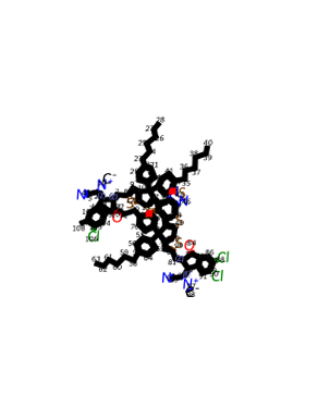 [C-]#[N+]/C(C#N)=C1\C(=C\c2cc3c(s2)-c2sc4c(c2C3(c2ccc(CCCCCC)cc2)c2ccc(CCCCCC)cc2)c2nsnc2c2sc3c(c24)C(c2ccc(CCCCCC)cc2)(c2ccc(CCCCCC)cc2)c2cc(/C=C4\C(=O)c5cc(Cl)c(Cl)cc5\C4=C(\C#N)[N+]#[C-])sc2-3)C(=O)c2cc(Cl)c(C)cc21